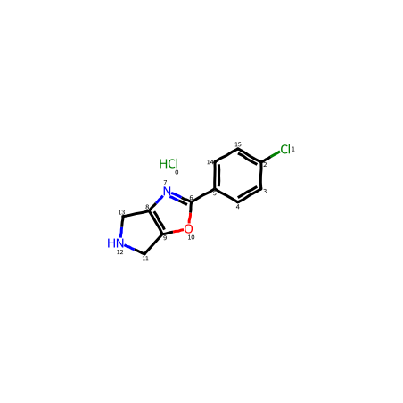 Cl.Clc1ccc(-c2nc3c(o2)CNC3)cc1